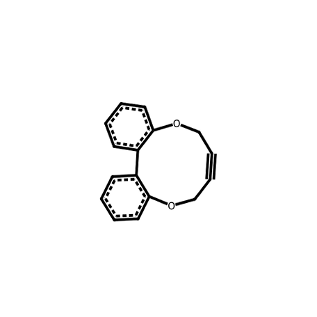 C1#CCOc2ccccc2-c2ccccc2OC1